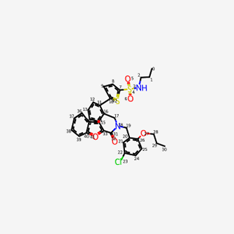 CCCNS(=O)(=O)c1ccc(-c2ccccc2CN(Cc2cc(Cl)ccc2OCCC)C(=O)c2cc3ccccc3o2)s1